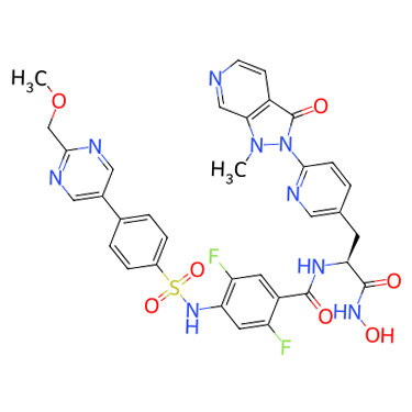 COCc1ncc(-c2ccc(S(=O)(=O)Nc3cc(F)c(C(=O)N[C@@H](Cc4ccc(-n5c(=O)c6ccncc6n5C)nc4)C(=O)NO)cc3F)cc2)cn1